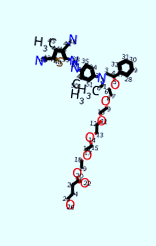 CCN(CC(OCCOCCOCCOCCOCCOC(=O)CCC=O)c1ccccc1)c1ccc(/N=N/c2sc(C#N)c(C)c2C#N)c(C)c1